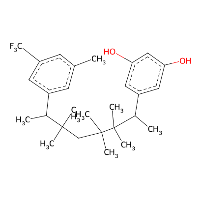 Cc1cc(C(C)C(C)(C)CC(C)(C)C(C)(C)C(C)c2cc(O)cc(O)c2)cc(C(F)(F)F)c1